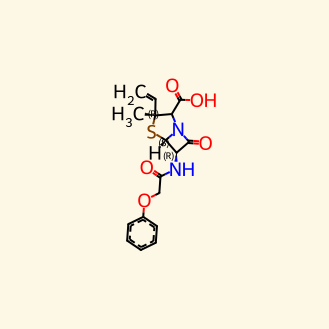 C=C[C@@]1(C)S[C@H]2[C@H](NC(=O)COc3ccccc3)C(=O)N2C1C(=O)O